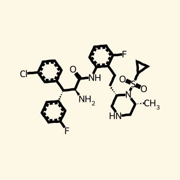 C[C@@H]1CNC[C@H](CCc2c(F)cccc2NC(=O)[C@@H](N)[C@H](c2cccc(F)c2)c2cccc(Cl)c2)N1S(=O)(=O)C1CC1